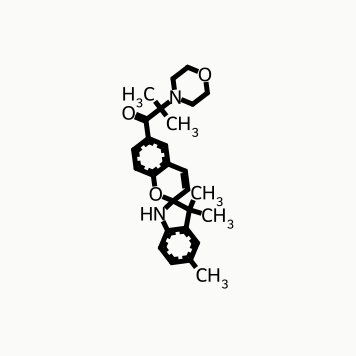 Cc1ccc2c(c1)C(C)(C)C1(C=Cc3cc(C(=O)C(C)(C)N4CCOCC4)ccc3O1)N2